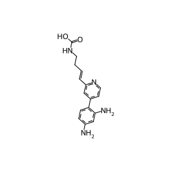 Nc1ccc(-c2ccnc(C=CCCNC(=O)O)c2)c(N)c1